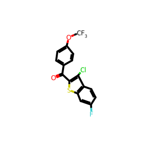 O=C(c1ccc(OC(F)(F)F)cc1)c1sc2cc(F)ccc2c1Cl